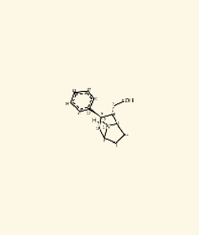 CN1C2CCC1[C@@H](CO)[C@H](c1ccccc1)C2